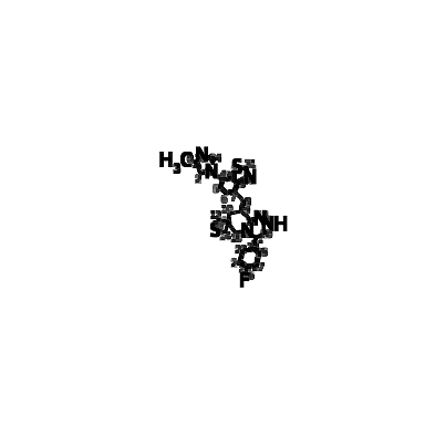 Cc1cn(-c2ccc(/C=C3\CC4(CSC4)CN4C3=NNCC4c3ccc(F)cc3)c3ncsc23)cn1